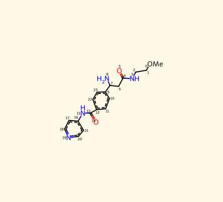 COCCNC(=O)CC(N)c1ccc(C(=O)Nc2ccncc2)cc1